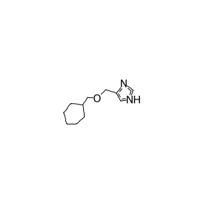 c1nc(COCC2CCCCC2)c[nH]1